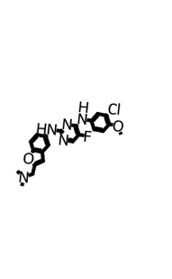 COc1ccc(Nc2nc(Nc3ccc4oc(CN(C)C)cc4c3)ncc2F)cc1Cl